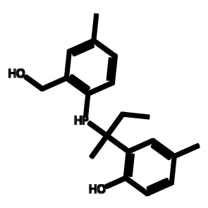 CCC(C)(Pc1ccc(C)cc1CO)c1cc(C)ccc1O